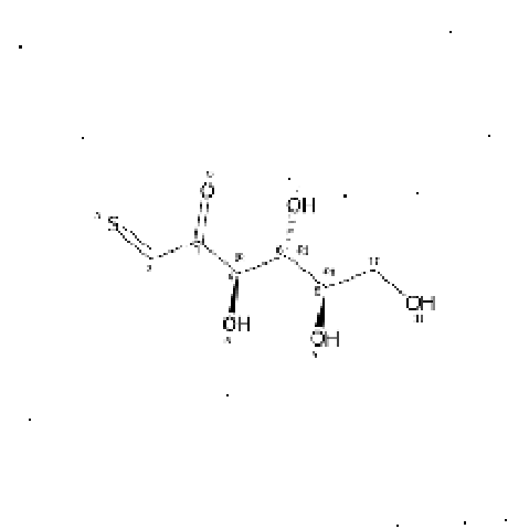 O=C(C=S)[C@H](O)[C@H](O)[C@H](O)CO